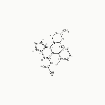 CC1CCN(c2c(-c3c(F)cccc3Cl)c(CC(=O)O)nc3ncnn23)CC1